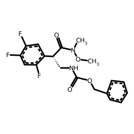 CON(C)C(=O)[C@H](CNC(=O)OCc1ccccc1)c1cc(F)c(F)cc1F